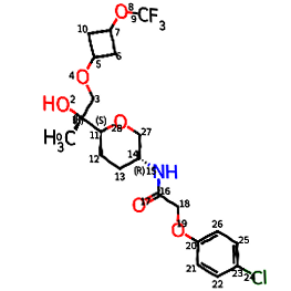 C[C@@](O)(COC1CC(OC(F)(F)F)C1)[C@@H]1CC[C@@H](NC(=O)COc2ccc(Cl)cc2)CO1